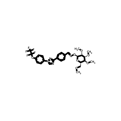 COC[C@@H]1O[C@@H](O/N=C/c2ccc(-c3ncn(-c4ccc(OC(F)(F)C(F)(F)F)cc4)n3)cc2)[C@H](OC)[C@H](OC)[C@H]1OC